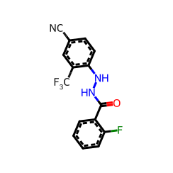 N#Cc1ccc(NNC(=O)c2ccccc2F)c(C(F)(F)F)c1